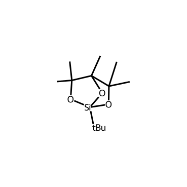 CC1(C)O[Si]2(C(C)(C)C)OC(C)(C)C1(C)O2